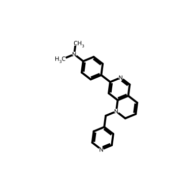 CN(C)c1ccc(-c2cc3c(cn2)C=CCN3Cc2ccncc2)cc1